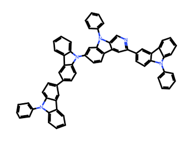 c1ccc(-n2c3ccccc3c3cc(-c4ccc5c(c4)c4ccccc4n5-c4ccc5c6cc(-c7ccc8c(c7)c7ccccc7n8-c7ccccc7)ncc6n(-c6ccccc6)c5c4)ccc32)cc1